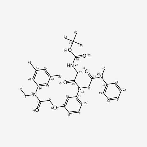 CCN(C(=O)COc1cccc(N(CC(=O)N(C)c2ccccc2)C(=O)CNC(=O)OC(C)(C)C)c1)c1cc(C)cc(C)c1